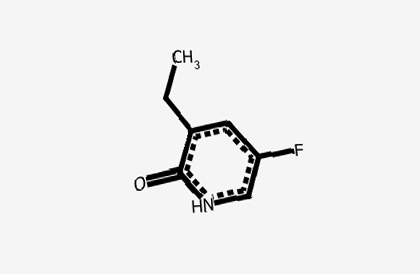 CCc1cc(F)c[nH]c1=O